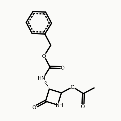 CC(=O)OC1NC(=O)[C@@H]1NC(=O)OCc1ccccc1